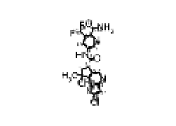 CC1(C)C[C@H](C(=O)Nc2cnc(C(N)=O)c(C(F)F)c2)c2cnc3cc(Cl)nn3c21